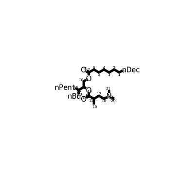 CCCCCCCCCCCCCCCCC(=O)OCC(OC(=O)C(C)CCN(C)C)C(CCCC)CCCCC